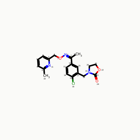 CC(=NOCc1cccc(C)n1)c1ccc(Cl)c(CN2CCOC2=O)c1